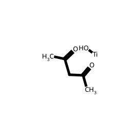 CC(=O)CC(C)=O.[OH][Ti]